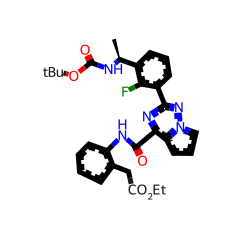 CCOC(=O)Cc1ccccc1NC(=O)c1nc(-c2cccc([C@H](C)NC(=O)OC(C)(C)C)c2F)nn2cccc12